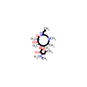 C=CCC1CCN(C)C[C@H](C)C[C@@](C)(O)[C@H](O[C@@H]2O[C@H](C)C[C@H](N(C)C)[C@H]2O)[C@@H](C)[C@H](O)[C@@H](C)C(=O)N1